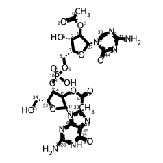 CC(=O)OC1[C@@H](O)[C@@H](COP(=O)(O)O[C@@H]2C(OC(C)=O)[C@H](n3cnc4c(=O)[nH]c(N)nc43)O[C@@H]2CO)O[C@H]1n1cnc(N)nc1=O